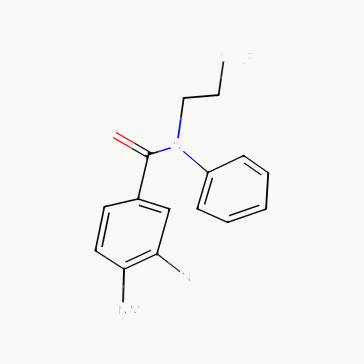 CCOC(=O)CCN(C(=O)c1ccc(NC)c([N+](=O)[O-])c1)c1ccccc1